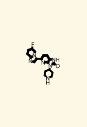 O=c1[nH]c2ccc(-c3cnc4ccc(F)cn34)nc2n1C1CCNCC1